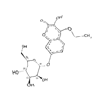 CCOc1c(O)c(=O)oc2cc(O[C@H]3O[C@H](CO)[C@@H](O)[C@H](O)[C@@H]3O)ccc12